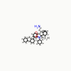 CC(CCN)C(C(=O)OCc1cccc2c1Cc1ccccc1-2)[C@](C(=O)O)(c1ccccc1)N(c1ccccc1)c1ccccc1